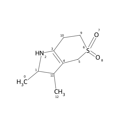 CC1NC2=C(CS(=O)(=O)CC2)C1C